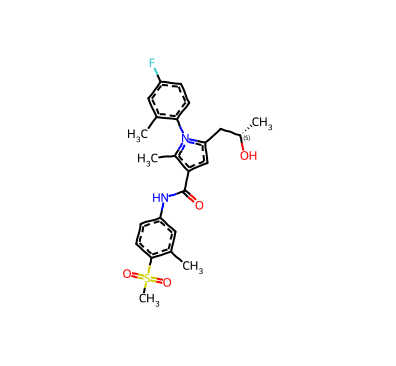 Cc1cc(F)ccc1-n1c(C[C@H](C)O)cc(C(=O)Nc2ccc(S(C)(=O)=O)c(C)c2)c1C